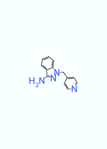 Nc1nn(Cc2ccncc2)c2ccccc12